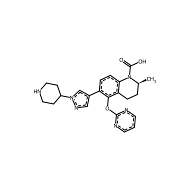 C[C@H]1CCc2c(ccc(-c3cnn(C4CCNCC4)c3)c2Oc2ncccn2)N1C(=O)O